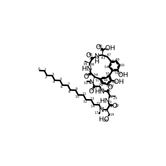 CCCCCCCCCCCCCCCCN(C)[C@H](CO)C(=O)N[C@H](C)C(=O)NCC(=O)N(C)[C@@H]1C(=O)N[C@@H](C)C(=O)N[C@@H](C(=O)O)Cc2ccc(O)c(c2)-c2cc1ccc2O